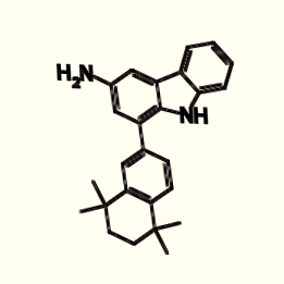 CC1(C)CCC(C)(C)c2cc(-c3cc(N)cc4c3[nH]c3ccccc34)ccc21